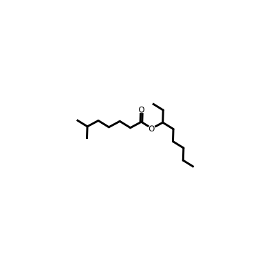 CCCCCC(CC)OC(=O)CCCCC(C)C